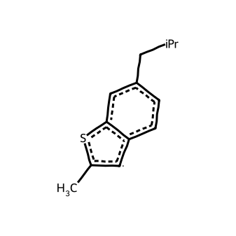 Cc1[c]c2ccc(CC(C)C)cc2s1